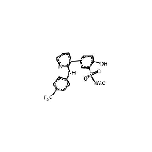 CNS(=O)(=O)c1cc(-c2cccnc2Nc2ccc(C(F)(F)F)cc2)ccc1O